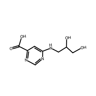 O=C(O)c1cc(NCC(O)CO)ncn1